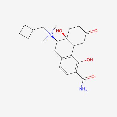 C[N+](C)(CC1CCC1)[C@@H]1Cc2ccc(C(N)=O)c(O)c2C2CC(=O)CC[C@]21O